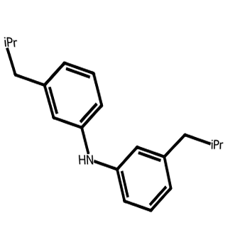 CC(C)Cc1cccc(Nc2cccc(CC(C)C)c2)c1